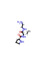 CC(C)C[C@H](NC(=O)[C@@H]1CCCN1)C(=O)NCCN